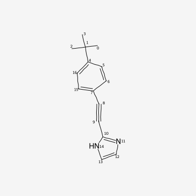 CC(C)(C)c1ccc(C#Cc2ncc[nH]2)cc1